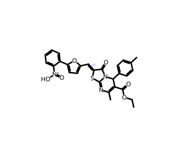 CCOC(=O)C1=C(C)N=c2s/c(=C\c3ccc(-c4ccccc4[N+](=O)O)o3)c(=O)n2C1c1ccc(C)cc1